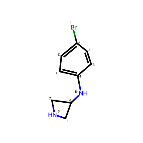 Brc1ccc(NC2CNC2)cc1